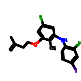 C=C(C)CCOc1cc(F)cc(Nc2ccc(I)cc2F)c1C#N